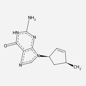 [CH2][C@@H]1C=C[C@H](n2cnc3c(=O)[nH]c(N)nc32)C1